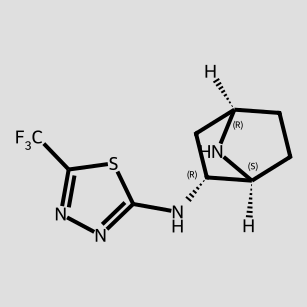 FC(F)(F)c1nnc(N[C@@H]2C[C@H]3CC[C@@H]2N3)s1